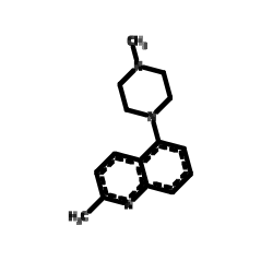 Cc1ccc2c(N3CCN(C)CC3)cccc2n1